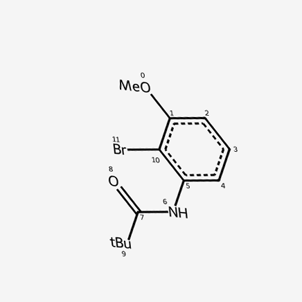 COc1cccc(NC(=O)C(C)(C)C)c1Br